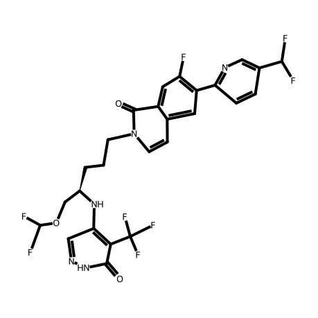 O=c1[nH]ncc(N[C@H](CCCn2ccc3cc(-c4ccc(C(F)F)cn4)c(F)cc3c2=O)COC(F)F)c1C(F)(F)F